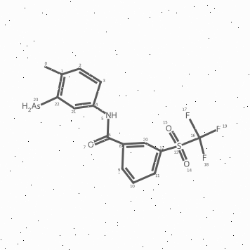 Cc1ccc(NC(=O)c2cccc(S(=O)(=O)C(F)(F)F)c2)cc1[AsH2]